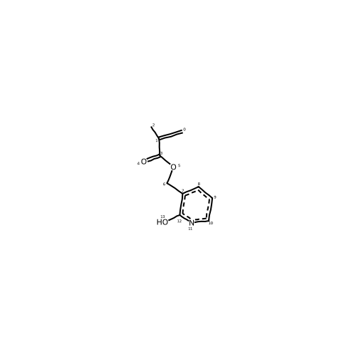 C=C(C)C(=O)OCc1cccnc1O